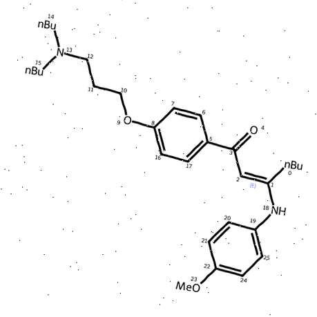 CCCC/C(=C\C(=O)c1ccc(OCCCN(CCCC)CCCC)cc1)Nc1ccc(OC)cc1